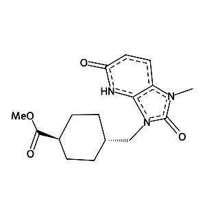 COC(=O)[C@H]1CC[C@H](Cn2c(=O)n(C)c3ccc(=O)[nH]c32)CC1